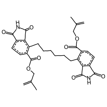 C=C(C)COC(=O)c1ccc2c(c1CCCCCCc1c(C(=O)OCC(=C)C)ccc3c1C(=O)NC3=O)C(=O)NC2=O